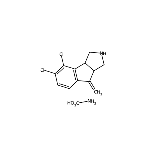 C=C1c2ccc(Cl)c(Cl)c2C2CNCC12.NC(=O)O